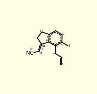 C=CCc1c(C)ccc2c1/C(=C/C#N)CC2